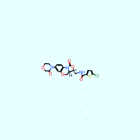 O=C(NC[C@@H]1OC(=O)N2c3ccc(N4CCOCC4=O)cc3OC[C@H]12)c1ccc(Cl)s1